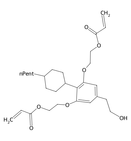 C=CC(=O)OCCOc1cc(CCO)cc(OCCOC(=O)C=C)c1C1CCC(CCCCC)CC1